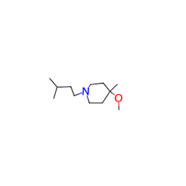 COC1(C)CCN(CCC(C)C)CC1